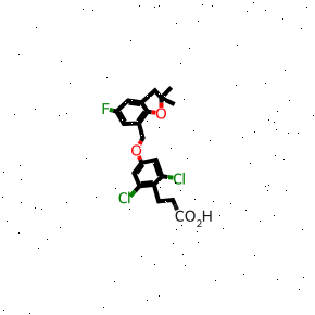 CC1(C)Cc2cc(F)cc(COc3cc(Cl)c(CCC(=O)O)c(Cl)c3)c2O1